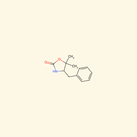 CC1(C)OC(=O)NC1Cc1ccccc1